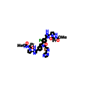 COC(=O)N[C@H](C(=O)N1CCC[C@H]1c1nc(-c2cc(F)c3c(c2)OC(c2cnc(-c4cnccn4)s2)n2c-3cc3cc(-c4cnc([C@@H]5CCCN5C(=O)[C@@H](NC(=O)OC)C(C)C)[nH]4)ccc32)c[nH]1)C(C)C